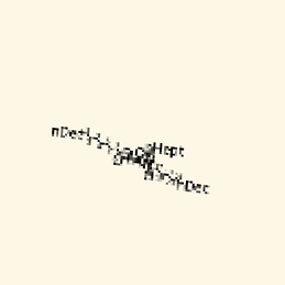 CCCCCCCCCCCCCCCCCC(=O)OC[C@@H](COC(=O)CCCCCCCCCCCCCCC)OC(=O)CCCCCCC